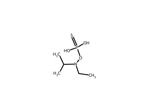 CCN(OP(O)(O)=S)C(C)C